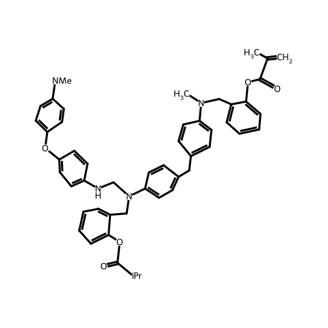 C=C(C)C(=O)Oc1ccccc1CN(C)c1ccc(Cc2ccc(N(CNc3ccc(Oc4ccc(NC)cc4)cc3)Cc3ccccc3OC(=O)C(C)C)cc2)cc1